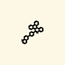 c1cnc2ccc(-c3ccc(-c4nc5ccccc5c5c6ccccc6c6ccccc6c45)cc3)cc2c1